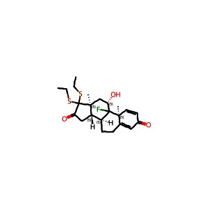 CCSC1(SCC)C(=O)C[C@H]2[C@@H]3CCC4=CC(=O)C=C[C@]4(C)C3(F)[C@@H](O)C[C@@]21C